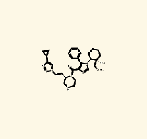 COC[C@]1(O)CCCC[C@H]1n1cnc(C(=O)N2CCNC[C@H]2CCn2cc(C3CC3)nn2)c1-c1ccccc1